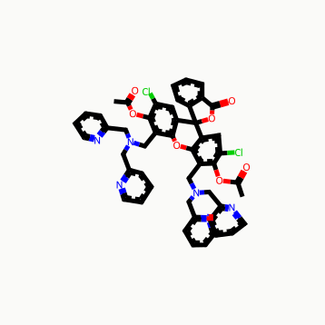 CC(=O)Oc1c(Cl)cc2c(c1CN(Cc1ccccn1)Cc1ccccn1)Oc1c(cc(Cl)c(OC(C)=O)c1CN(Cc1ccccn1)Cc1ccccn1)C21OC(=O)c2ccccc21